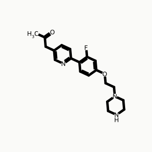 CC(=O)Cc1ccc(-c2ccc(OCCN3CCNCC3)cc2F)nc1